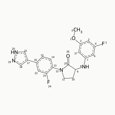 COc1cc(F)cc(NC2CCN(c3ccc(-c4cn[nH]c4)cc3F)C2=O)c1